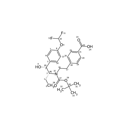 CC[C@H]([C@H](O)c1ccc(OC(F)F)cc1)N(CCc1ccc(C(=O)O)cc1)C(=O)OC(C)(C)C